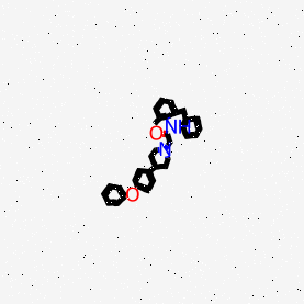 Cc1cccc(Cc2ccccc2)c1NC(=O)CN1CCC(c2ccc(Oc3ccccc3)cc2)CC1